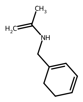 C=C(C)NCC1=CC=CCC1